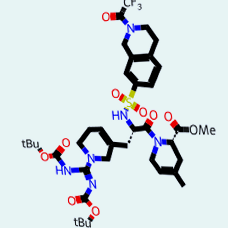 COC(=O)[C@@H]1CC(C)=CCN1C(=O)[C@H](CC1=CCCN(C(=NC(=O)OC(C)(C)C)NC(=O)OC(C)(C)C)C1)NS(=O)(=O)c1ccc2c(c1)CN(C(=O)C(F)(F)F)CC2